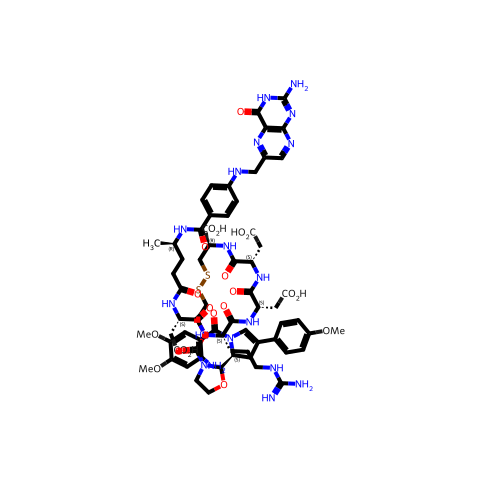 COc1ccc(C2=CN(C(=O)c3cc(OC)c(OC)cc3N)[C@H](C3OCCN3C(=O)OCCSSC[C@H](NC(=O)[C@H](CC(=O)O)NC(=O)[C@H](CC(=O)O)NC(=O)[C@H](CCCNC(=N)N)NC(=O)[C@H](CC(=O)O)NC(=O)CC[C@@H](C)NC(=O)c3ccc(NCc4cnc5nc(N)[nH]c(=O)c5n4)cc3)C(=O)O)C2)cc1